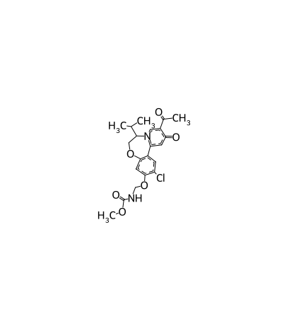 COC(=O)NCOc1cc2c(cc1Cl)-c1cc(=O)c(C(C)=O)cn1C(C(C)C)CO2